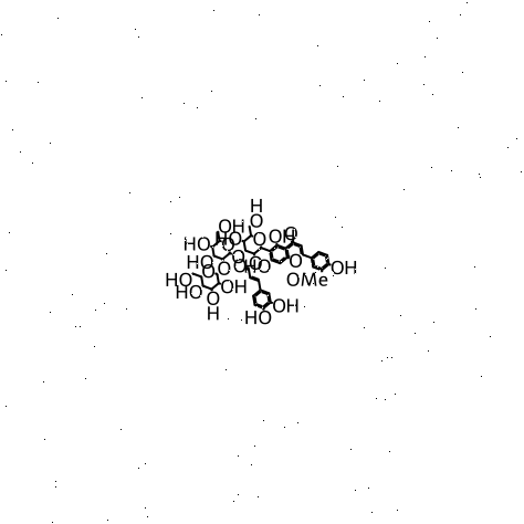 COc1cc(-c2cc(=O)c3c(O)c(C4OC(CO)C(O)C(OC5OC(CO)C(O)C(O)C5OC5OC(CO)C(O)C(O)C5O)C4OC(=O)/C=C/c4ccc(O)c(O)c4)c(O)cc3o2)ccc1O